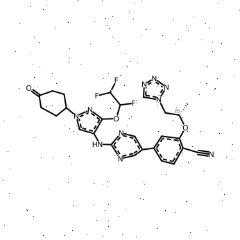 C[C@@H](Cn1cnnn1)Oc1cc(-c2cnc(Nc3cn(C4CCC(=O)CC4)nc3OC(F)C(F)F)nc2)ccc1C#N